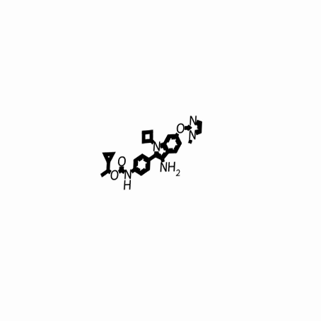 CC(OC(=O)Nc1ccc(-c2c(N)c3ccc(Oc4nccn4C)cc3n2C2CCC2)cc1)C1CC1